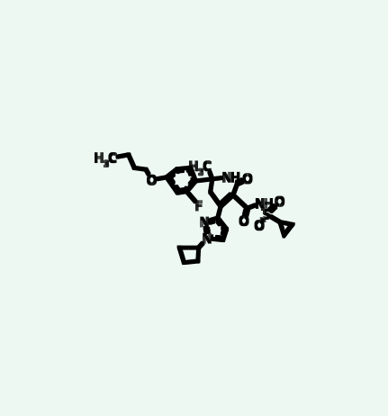 CCCCOc1ccc(C2(C)CC(c3ccn(C4CCC4)n3)=C(C(=O)NS(=O)(=O)C3CC3)C(=O)N2)c(F)c1